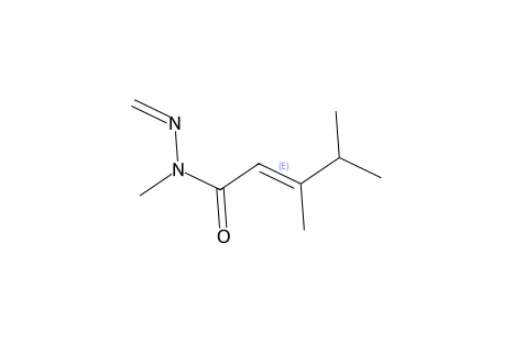 C=NN(C)C(=O)/C=C(\C)C(C)C